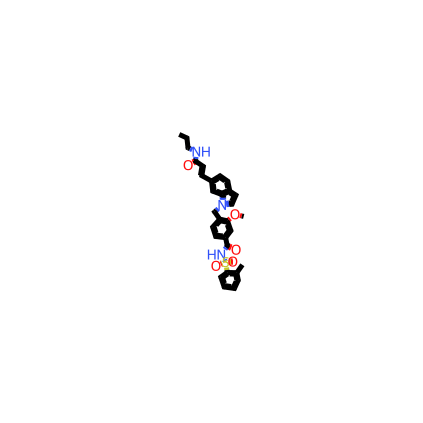 CCCNC(=O)/C=C/c1ccc2ccn(Cc3ccc(C(=O)NS(=O)(=O)c4ccccc4C)cc3OC)c2c1